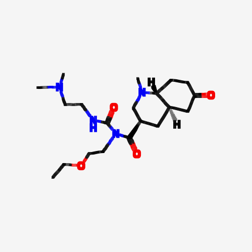 CCOCCN(C(=O)NCCN(C)C)C(=O)[C@@H]1C[C@@H]2CC(=O)CC[C@H]2N(C)C1